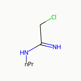 CCCNC(=N)CCl